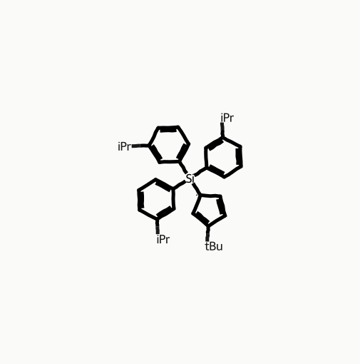 CC(C)c1cccc([Si]([C]2C=CC(C(C)(C)C)=C2)(c2cccc(C(C)C)c2)c2cccc(C(C)C)c2)c1